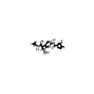 Cc1ccc(C(=O)Nc2ncc3c(C(=O)NC4CC4)cn(C(C)(C)C)c3n2)cc1F